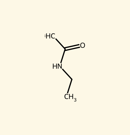 [CH]C(=O)NCC